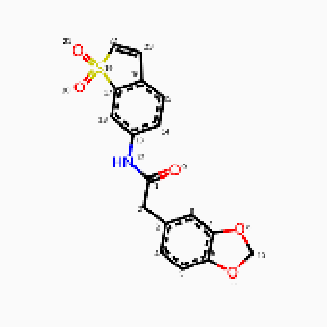 O=C(Cc1ccc2c(c1)OCO2)Nc1ccc2c(c1)S(=O)(=O)C=C2